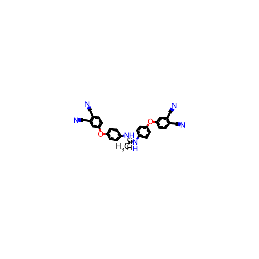 C[SiH](Nc1ccc(Oc2ccc(C#N)c(C#N)c2)cc1)Nc1ccc(Oc2ccc(C#N)c(C#N)c2)cc1